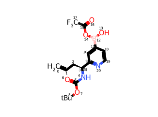 C=CC[C@H](NC(=O)OC(C)(C)C)c1cc(B(O)OC(=O)C(F)(F)F)ccn1